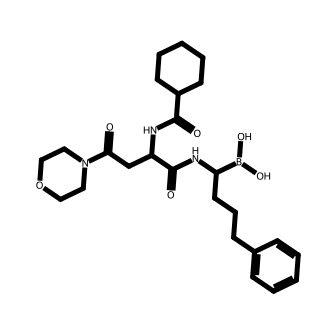 O=C(NC(CC(=O)N1CCOCC1)C(=O)NC(CCCc1ccccc1)B(O)O)C1CCCCC1